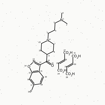 CN(C)CCCN1CCC(C(=O)c2noc3cc(F)ccc23)CC1.O=C(O)C=CC(=O)O.O=C(O)C=CC(=O)O